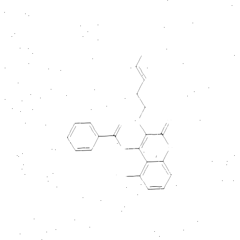 CCC=CCCOc1c(OC(=O)c2ccccc2)c2c(OC(C)=O)cccc2oc1=O